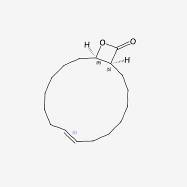 O=C1O[C@@H]2CCCCCC/C=C/CCCCCC[C@H]12